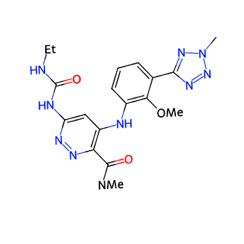 CCNC(=O)Nc1cc(Nc2cccc(-c3nnn(C)n3)c2OC)c(C(=O)NC)nn1